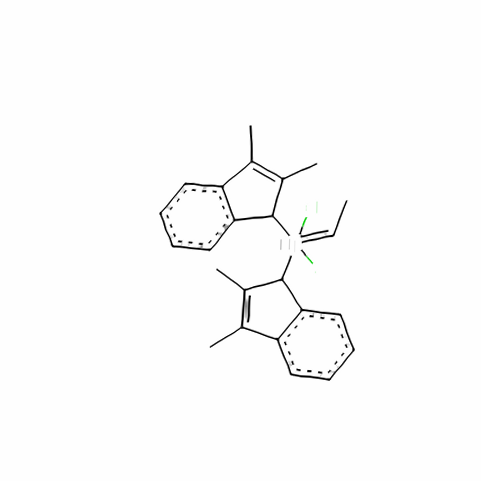 C[CH]=[Hf]([Cl])([Cl])([CH]1C(C)=C(C)c2ccccc21)[CH]1C(C)=C(C)c2ccccc21